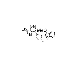 CCn1cnc2c(-c3ccc(F)c(-c4sc5ccccc5c4OC)c3)cnnc21